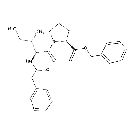 CC[C@H](C)[C@H](NC(=O)Cc1ccccc1)C(=O)N1CCC[C@H]1C(=O)OCc1ccccc1